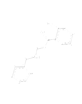 Cc1ccccc1C(=O)OCNCc1ccccc1